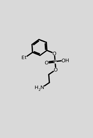 CCc1cccc(OP(=O)(O)OCCN)c1